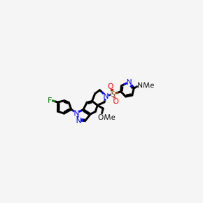 CNc1ccc(S(=O)(=O)N2CCC3=Cc4c(cnn4-c4ccc(F)cc4)CC3(COC)C2)cn1